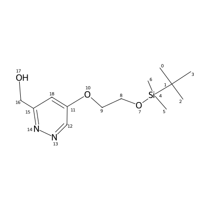 CC(C)(C)[Si](C)(C)OCCOc1cnnc(CO)c1